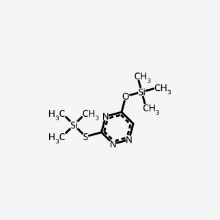 C[Si](C)(C)Oc1cnnc(S[Si](C)(C)C)n1